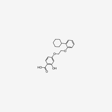 O=C(O)c1ccc(OCCOc2ccccc2C2CCCCC2)cc1O